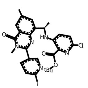 Cc1cc([C@@H](C)Nc2ccc(Cl)nc2C(=O)OC(C)(C)C)c2nc(-c3ccc(I)nc3)n(C)c(=O)c2c1